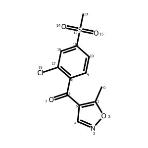 Cc1oncc1C(=O)c1ccc(S(C)(=O)=O)cc1Cl